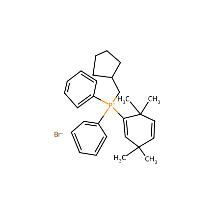 CC1(C)C=CC(C)(C)C([P+](CC2CCCC2)(c2ccccc2)c2ccccc2)=C1.[Br-]